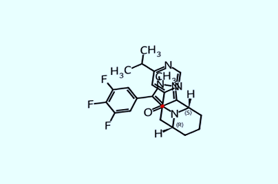 CC(C)c1cc(C(=O)N2[C@@H]3CCC[C@H]2c2nn(C)c(-c4cc(F)c(F)c(F)c4)c2C3)ncn1